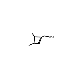 CC(=O)OCC1=CC(C)C1C